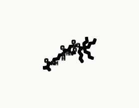 C=C(C)C(=O)NCCCNC(=O)C(CS(=O)(=O)ON(CCCC)C(CCC)(CCCC)CCCC)NC